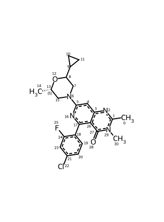 Cc1nc2cc(N3CC(C4CC4)O[C@@H](C)C3)nc(-c3ccc(Cl)cc3F)c2c(=O)n1C